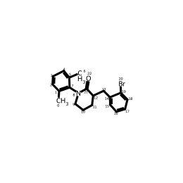 Cc1cccc(C)c1N1CCCC(Cc2ccccc2Br)C1=O